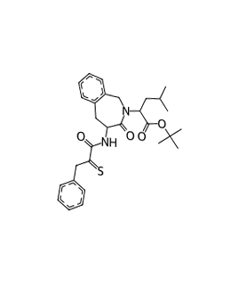 CC(C)CC(C(=O)OC(C)(C)C)N1Cc2ccccc2CC(NC(=O)C(=S)Cc2ccccc2)C1=O